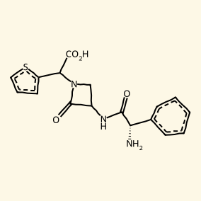 N[C@H](C(=O)NC1CN(C(C(=O)O)c2cccs2)C1=O)c1ccccc1